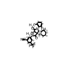 Cc1cccc(C)c1N1C[C@@](CN2CCCCC2)(C(=O)Nc2cc(C#N)cc(C(F)(F)F)c2)[C@H](C)C1=O